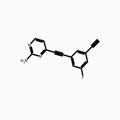 C#Cc1cc(F)cc(C#Cc2ccnc(N)n2)c1